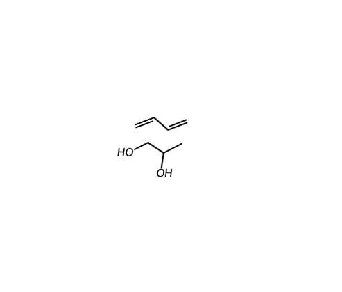 C=CC=C.CC(O)CO